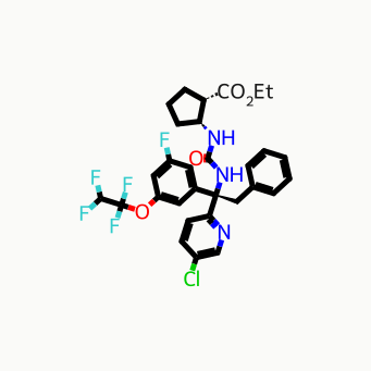 CCOC(=O)[C@H]1CCC[C@H]1NC(=O)N[C@@](Cc1ccccc1)(c1cc(F)cc(OC(F)(F)C(F)F)c1)c1ccc(Cl)cn1